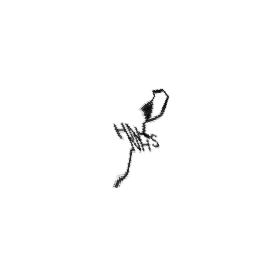 CCCCNNC(=S)c1ccccc1